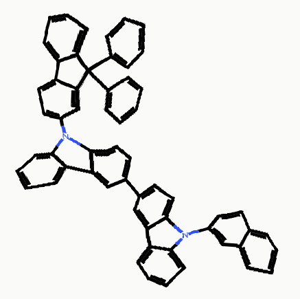 c1ccc(C2(c3ccccc3)c3ccccc3-c3ccc(-n4c5ccccc5c5cc(-c6ccc7c(c6)c6ccccc6n7-c6ccc7ccccc7c6)ccc54)cc32)cc1